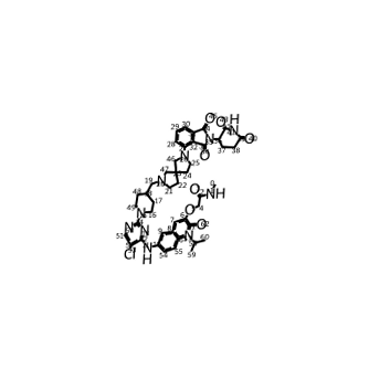 CNC(=O)COc1cc2cc(Nc3nc(N4CCC(CN5CCC6(CCN(c7cccc8c7C(=O)N(C7CCC(=O)NC7=O)C8=O)C6)C5)CC4)ncc3Cl)ccc2n(C(C)C)c1=O